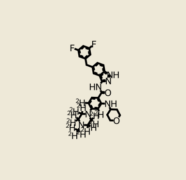 [2H]c1cc(C(=O)Nc2n[nH]c3ccc(Cc4cc(F)cc(F)c4)cc23)c(NC2CCOCC2)c([2H])c1N1C([2H])([2H])C([2H])([2H])N(C([2H])([2H])[2H])C([2H])([2H])C1([2H])[2H]